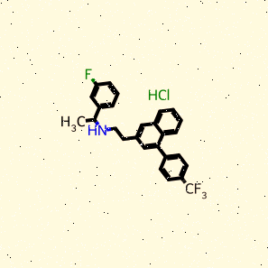 CC(NCCc1cc(-c2ccc(C(F)(F)F)cc2)c2ccccc2c1)c1cccc(F)c1.Cl